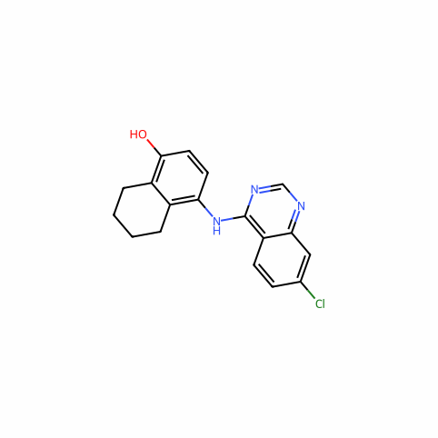 Oc1ccc(Nc2ncnc3cc(Cl)ccc23)c2c1CCCC2